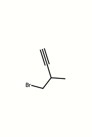 C#CC(C)CBr